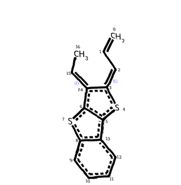 C=C/C=c1/sc2c(sc3ccccc32)/c1=C/C